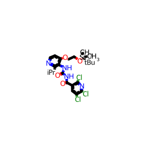 CC(C)c1nccc(OCCO[Si](C)(C)C(C)(C)C)c1NC(=O)NC(=O)c1cc(Cl)c(Cl)nc1Cl